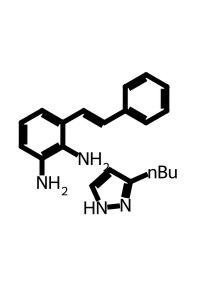 CCCCc1cc[nH]n1.Nc1cccc(C=Cc2ccccc2)c1N